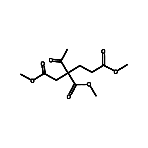 COC(=O)CCC(CC(=O)OC)(C(C)=O)C(=O)OC